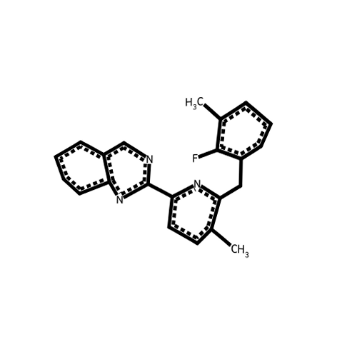 Cc1ccc(-c2ncc3ccccc3n2)nc1Cc1cccc(C)c1F